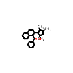 CC1=CC(C)C(c2ccc3ccccc3c2C(O)c2ccccc2)=C1C